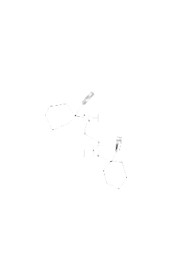 C#CC1(NCCNC2(C#C)CCCCC2)CCCCC1